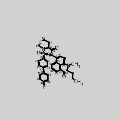 CCCCN(C)c1ccc(NC(=O)C2CCCCN2S(=O)(=O)c2ccc(-c3ccc(F)cc3)cc2)c2cccc(C=O)c12